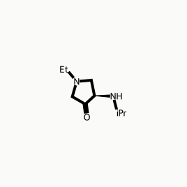 CCN1CC(=O)[C@H](NC(C)C)C1